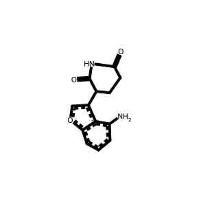 Nc1cccc2occ(C3CCC(=O)NC3=O)c12